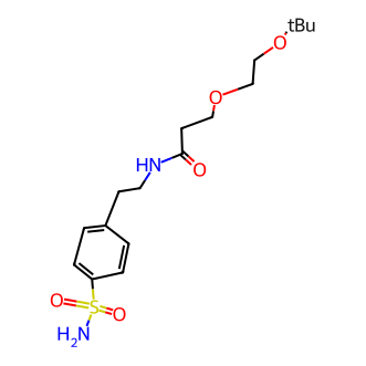 CC(C)(C)OCCOCCC(=O)NCCc1ccc(S(N)(=O)=O)cc1